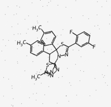 Cc1ccc(C(CCN)C2(c3ccc(C)cc3)SC(c3cc(F)ccc3F)=NN2c2nnc(C)s2)cc1